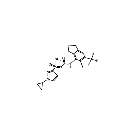 Cc1c(C(F)(F)F)nc2c(c1NC(=O)N=S(N)(=O)c1ccn(C3CC3)n1)CCC2